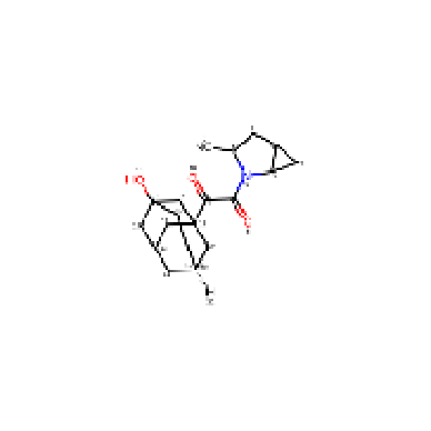 N#CC1CC2CC2N1C(=O)C(=O)C12CC3C[C@@H](CC(O)(C3)C1)C2